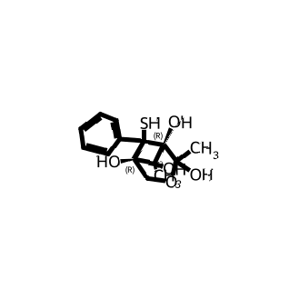 CC1(O)OC[C@]2(O)C(S)(c3ccccc3)[C@@]1(O)[C@@]2(C)O